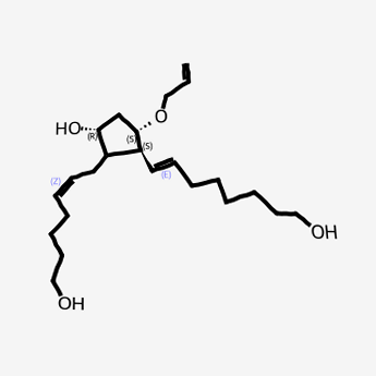 C=CCO[C@H]1C[C@@H](O)C(C/C=C\CCCCO)[C@@H]1/C=C/CCCCCCO